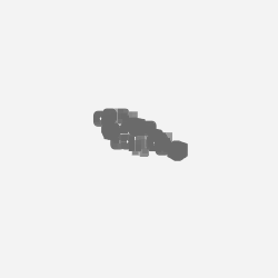 CCOC(=O)[C@H]1CCN(C(=O)OCC(C)C)C[C@H]1CCc1ccc(OCCc2nc(-c3ccccc3)oc2C)cc1